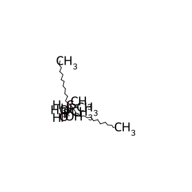 CCCCCCCCCCCCCCC(CCCCCCCCCCCCCC)(P(=O)(O)O)[PH](C)(C)C(C)C.I